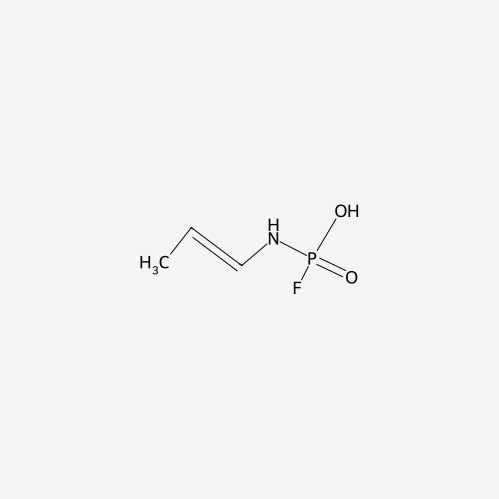 CC=CNP(=O)(O)F